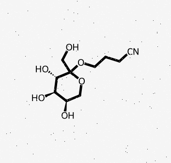 N#CCCCOC1(CO)OC[C@@H](O)[C@@H](O)[C@@H]1O